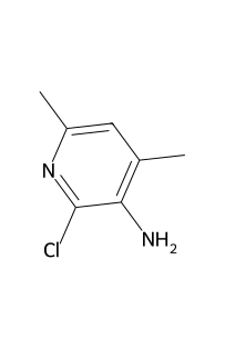 Cc1cc(C)c(N)c(Cl)n1